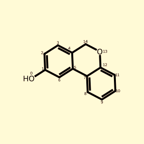 Oc1ccc2c(c1)-c1ccccc1OC2